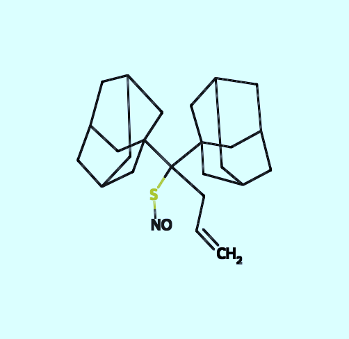 C=CCC(SN=O)(C12CC3CC(CC(C3)C1)C2)C12CC3CC(CC(C3)C1)C2